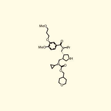 COCCCOc1cc(C(=O)N(C[C@@H]2CNC[C@H]2CN(C(=O)OCC2CCOCC2)C2CC2)C(C)C)ccc1OC